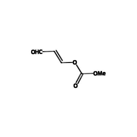 COC(=O)O/C=C/C=O